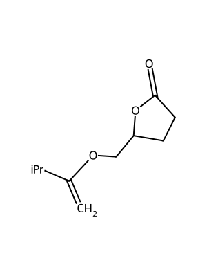 C=C(OCC1CCC(=O)O1)C(C)C